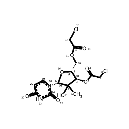 CC1(O)[C@H](OC(=O)CCl)[C@@H](COC(=O)CCl)O[C@H]1n1ccc(=O)[nH]c1=O